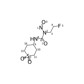 O=NN(CCF)C(=O)NC1CCS(=O)(=O)CC1